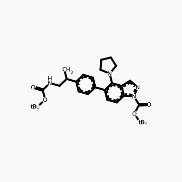 CC(CNC(=O)OC(C)(C)C)c1ccc(-c2ccc3c(cnn3C(=O)OC(C)(C)C)c2N2CCCC2)cc1